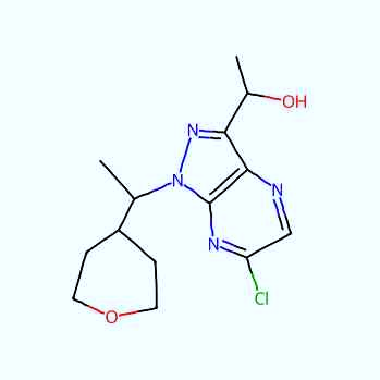 CC(O)c1nn(C(C)C2CCOCC2)c2nc(Cl)cnc12